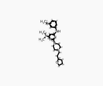 COc1cccc(Nc2cc(N(C)C)nc(N3CCN(CCC4CCCO4)CC3)n2)c1